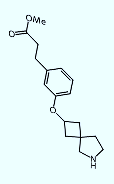 COC(=O)CCc1cccc(OC2CC3(CCNC3)C2)c1